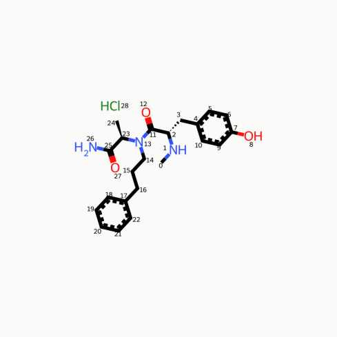 CN[C@@H](Cc1ccc(O)cc1)C(=O)N(CCCc1ccccc1)[C@H](C)C(N)=O.Cl